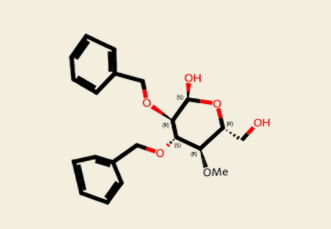 CO[C@H]1[C@H](OCc2ccccc2)[C@@H](OCc2ccccc2)[C@@H](O)O[C@@H]1CO